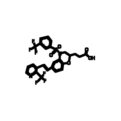 O=C(O)CCC1CN(S(=O)(=O)c2cccc(C(F)(F)F)c2)c2cc(C=Cc3cccnc3C(F)(F)F)ccc2O1